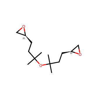 CC(C)(CC[C@H]1CO1)OC(C)(C)CC[C@H]1CO1